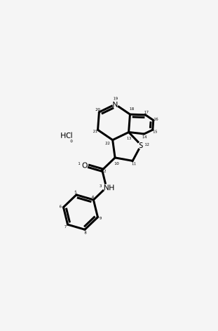 Cl.O=C(Nc1ccccc1)C1CSC23CC=CC=C2N=CCC13